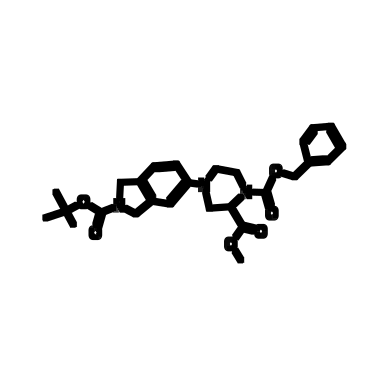 COC(=O)C1CN(c2ccc3c(c2)CN(C(=O)OC(C)(C)C)C3)CCN1C(=O)OCc1ccccc1